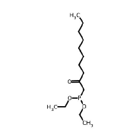 CCCCCCCCC(=O)CP(OCC)OCC